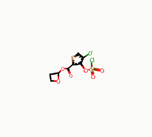 O=C(OC1CCO1)c1scc(Cl)c1OS(=O)(=O)Cl